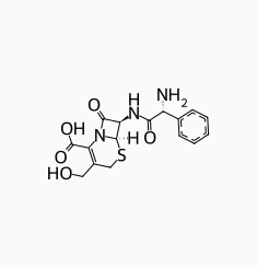 N[C@@H](C(=O)N[C@@H]1C(=O)N2C(C(=O)O)=C(CO)CS[C@H]12)c1ccccc1